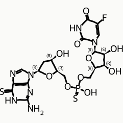 Nc1nc2c(ncn2[C@H]2C[C@@H](O)[C@@H](COP(O)(=S)OC[C@H]3O[C@@H](n4cc(F)c(=O)[nH]c4=O)[C@@H](O)[C@H]3O)O2)c(=S)[nH]1